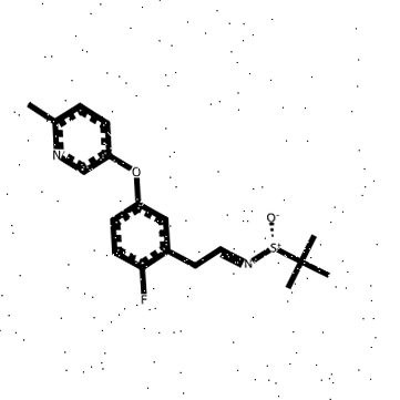 Cc1ccc(Oc2ccc(F)c(C/C=N/[S@+]([O-])C(C)(C)C)c2)cn1